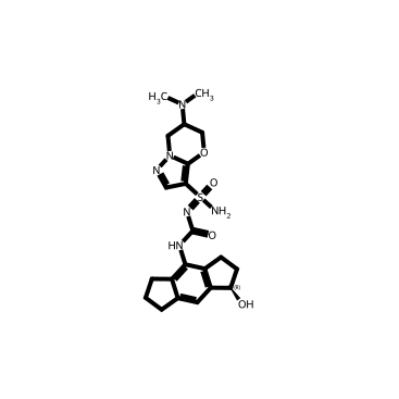 CN(C)C1COc2c(S(N)(=O)=NC(=O)Nc3c4c(cc5c3CC[C@H]5O)CCC4)cnn2C1